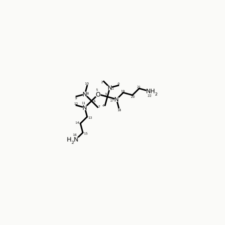 CN(C)C(C)(OC(C)(N(C)C)N(C)CCCN)N(C)CCCN